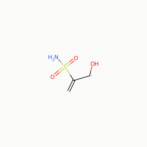 C=C([CH]O)S(N)(=O)=O